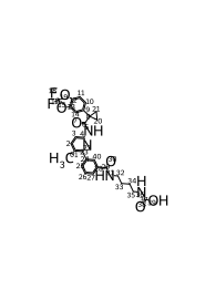 Cc1ccc(NC(=O)C2(c3ccc4c(c3)OC(F)(F)O4)CC2)nc1-c1cccc(C(=O)NCCCCNC(=O)O)c1